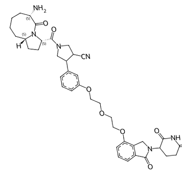 N#CC1CN(C(=O)[C@@H]2CC[C@@H]3CCCC[C@H](N)C(=O)N32)CC1c1cccc(OCCOCCOc2cccc3c2CN(C2CCC(=O)NC2=O)C3=O)c1